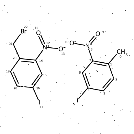 Cc1ccc(I)cc1[N+](=O)[O-].O=[N+]([O-])c1cc(I)ccc1CBr